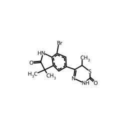 CC1SC(=O)NN=C1c1cc(Br)c2c(c1)C(C)(C)C(=O)N2